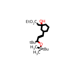 CCOC(=O)CC1(O)CCCC(/C=C/C(O[Si](C)(C)C(C)(C)C)C(C)(C)C)C1